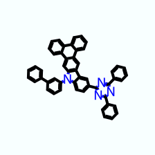 c1ccc(-c2cccc(-n3c4ccc(-c5nc(-c6ccccc6)nc(-c6ccccc6)n5)cc4c4cc5c6ccccc6c6ccccc6c5cc43)c2)cc1